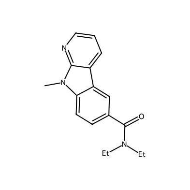 CCN(CC)C(=O)c1ccc2c(c1)c1cccnc1n2C